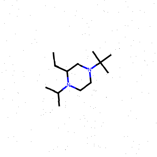 CCC1CN(C(C)(C)C)CCN1C(C)C